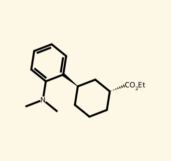 CCOC(=O)[C@@H]1CCC[C@@H](c2ccccc2N(C)C)C1